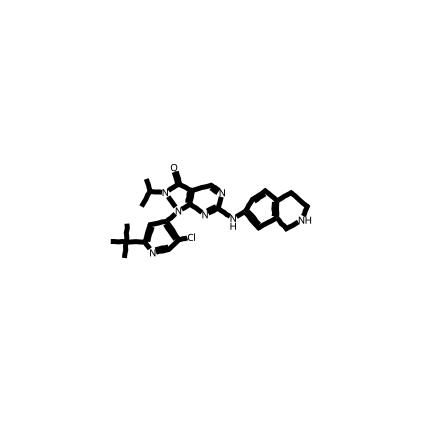 CC(C)n1c(=O)c2cnc(Nc3ccc4c(c3)CNCC4)nc2n1-c1cc(C(C)(C)C)ncc1Cl